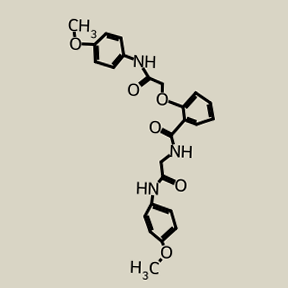 COc1ccc(NC(=O)CNC(=O)c2ccccc2OCC(=O)Nc2ccc(OC)cc2)cc1